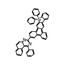 c1ccc(-c2nc(-c3ccc4c(c3)c3ccccc3c3cc5c(cc43)[Si](c3ccccc3)(c3ccccc3)c3ccccc3-5)nc3ccc4ccccc4c23)cc1